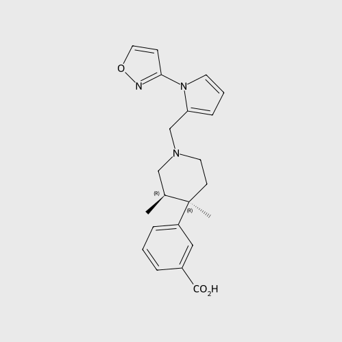 C[C@H]1CN(Cc2cccn2-c2ccon2)CC[C@@]1(C)c1cccc(C(=O)O)c1